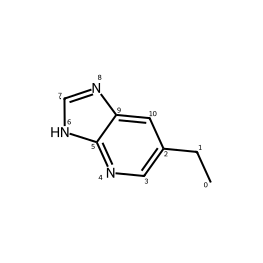 CCc1cnc2[nH][c]nc2c1